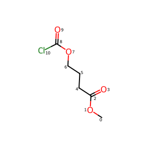 COC(=O)CCCOC(=O)Cl